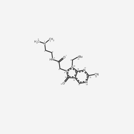 CN(C)CCNC(=O)Cn1c(=O)c2cnc(C#N)nc2n1CC(C)(C)C